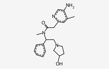 Cc1cc(CC(=O)N(C)C(CN2CCC(O)C2)c2ccccc2)ncc1N